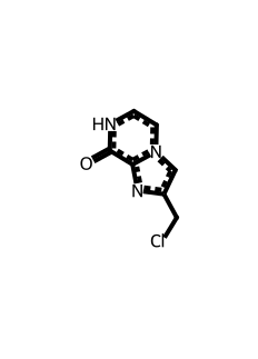 O=c1[nH]ccn2cc(CCl)nc12